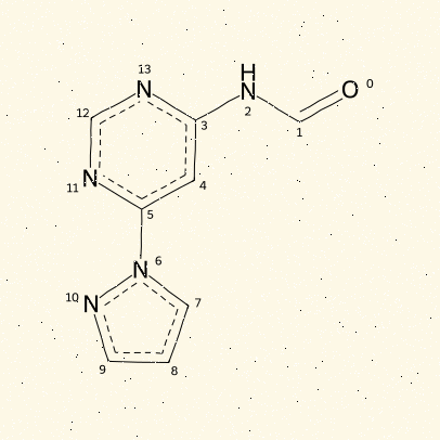 O=CNc1cc(-n2cccn2)ncn1